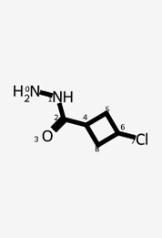 NNC(=O)C1CC(Cl)C1